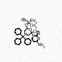 CC1(n2ccc(N)nc2=O)CN(C(c2ccccc2)(c2ccccc2)c2ccccc2)CC(O[Si](C)(C)C(C)(C)C)O1